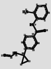 Nc1ccccc1NC(=O)c1ccc(C2(NC=O)CC2)cc1